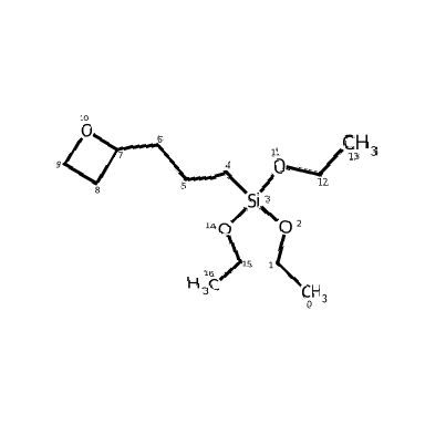 CCO[Si](CCCC1CCO1)(OCC)OCC